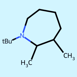 CC1CCCCN(C(C)(C)C)C1C